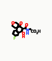 O=C(O)CNC(=O)C1=C(O)c2cc(F)ccc2C2(CCOCC2)C1=O